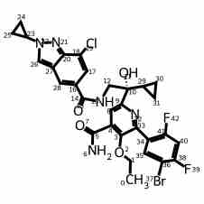 CCOc1c(C(N)=O)cc([C@@](O)(CNC(=O)c2cc(Cl)c3nn(C4CC4)cc3c2)C2CC2)nc1-c1cc(Br)c(F)cc1F